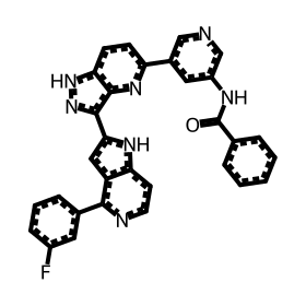 O=C(Nc1cncc(-c2ccc3[nH]nc(-c4cc5c(-c6cccc(F)c6)nccc5[nH]4)c3n2)c1)c1ccccc1